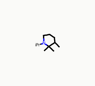 CC(C)N1CCCC(C)C1(C)C